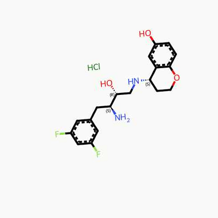 Cl.N[C@@H](Cc1cc(F)cc(F)c1)[C@H](O)CN[C@H]1CCOc2ccc(O)cc21